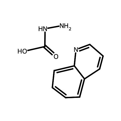 NNC(=O)O.c1ccc2ncccc2c1